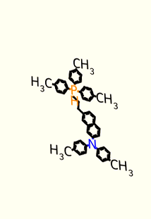 Cc1ccc(N(c2ccc(C)cc2)c2ccc3ccc(CCC[PH](c4ccc(C)cc4)(c4ccc(C)cc4)c4ccc(C)cc4)cc3c2)cc1